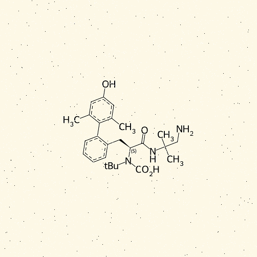 Cc1cc(O)cc(C)c1-c1ccccc1C[C@@H](C(=O)NC(C)(C)CN)N(C(=O)O)C(C)(C)C